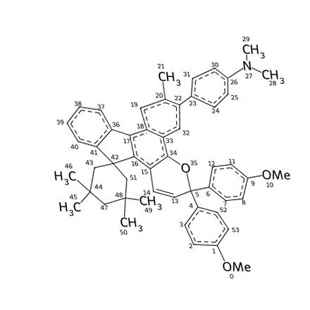 COc1ccc(C2(c3ccc(OC)cc3)C=Cc3c4c(c5cc(C)c(-c6ccc(N(C)C)cc6)cc5c3O2)-c2ccccc2C42CC(C)(C)CC(C)(C)C2)cc1